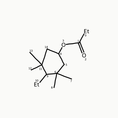 CCC(=O)OC1CC(C)(C)C(CC)C(C)(C)C1